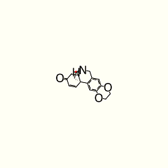 O=C1C=C[C@]23CCN(Cc4cc5c(cc42)OCCO5)[C@H]3C1